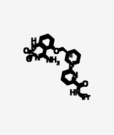 CC(C)NC(=O)c1cccc(N2CCC[C@H](COc3cccc4c3C(N)=NS(=O)(=O)N4)C2)n1